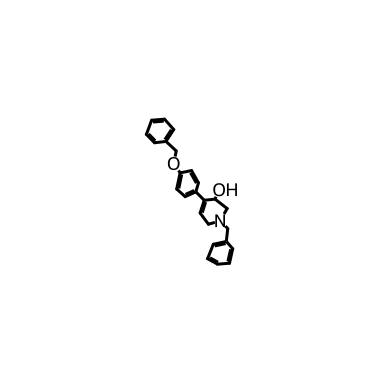 OC1CN(Cc2ccccc2)CC=C1c1ccc(OCc2ccccc2)cc1